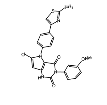 COc1cccc(-n2c(=O)[nH]c3cc(Cl)n(-c4ccc(-c5csc(N)n5)cc4)c3c2=O)c1